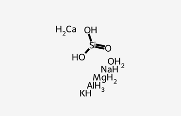 O.O=[Si](O)O.[AlH3].[CaH2].[KH].[MgH2].[NaH]